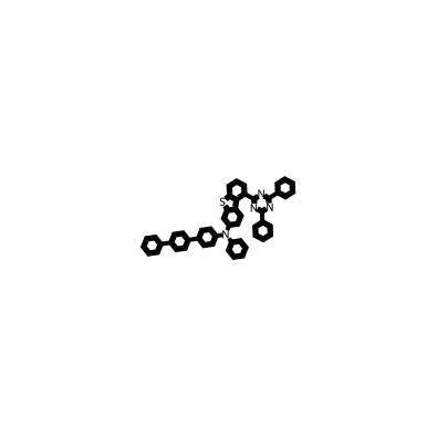 c1ccc(-c2ccc(-c3ccc(N(c4ccccc4)c4ccc5c(c4)sc4cccc(-c6nc(-c7ccccc7)nc(-c7ccccc7)n6)c45)cc3)cc2)cc1